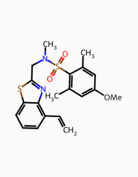 C=Cc1cccc2sc(CN(C)S(=O)(=O)c3c(C)cc(OC)cc3C)nc12